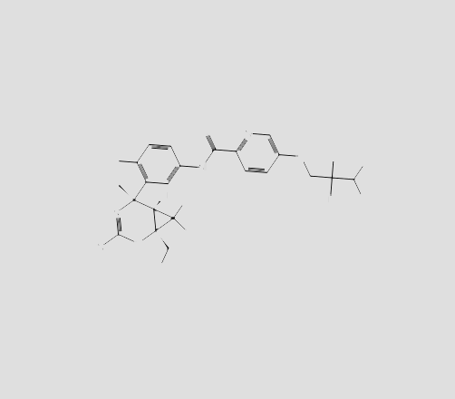 C[C@]1(c2cc(NC(=O)c3ccc(OCC(F)(F)C(F)F)cn3)ccc2F)N=C(N)S[C@]2(CO)[C@H]1C2(F)F